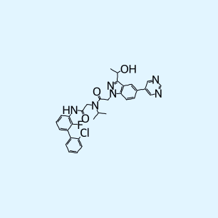 CC(O)c1nn(CC(=O)N(CC(=O)Nc2cccc(-c3ccccc3Cl)c2F)C(C)C)c2ccc(-c3cncnc3)cc12